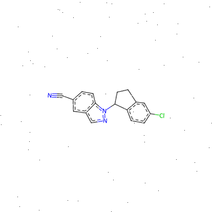 N#Cc1ccc2c(cnn2C2CCc3cc(Cl)ccc32)c1